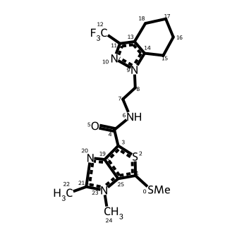 CSc1sc(C(=O)NCCn2nc(C(F)(F)F)c3c2CCCC3)c2nc(C)n(C)c12